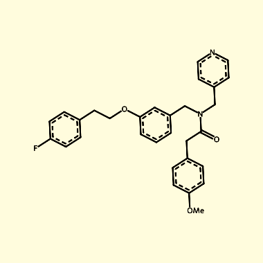 COc1ccc(CC(=O)N(Cc2ccncc2)Cc2cccc(OCCc3ccc(F)cc3)c2)cc1